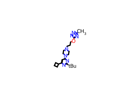 Cn1nnc(OCCCN2CCN(c3cc(C4CCC4)nc(C(C)(C)C)n3)CC2)n1